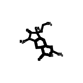 CCOC1(C)C(=O)N(C)c2cc3c(=O)[nH]c(C)nc3cc21